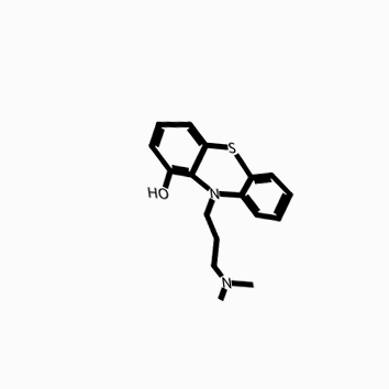 CN(C)CCCN1c2ccccc2Sc2cccc(O)c21